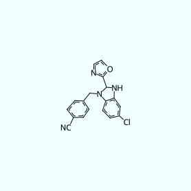 N#Cc1ccc(CN2c3ccc(Cl)cc3NC2c2ncco2)cc1